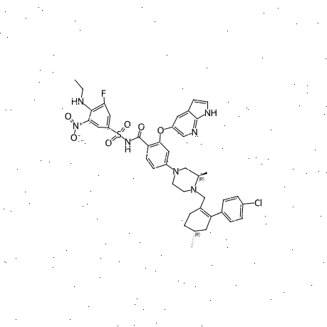 CCNc1c(F)cc(S(=O)(=O)NC(=O)c2ccc(N3CCN(CC4=C(c5ccc(Cl)cc5)C[C@H](C)CC4)[C@H](C)C3)cc2Oc2cnc3[nH]ccc3c2)cc1[N+](=O)[O-]